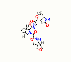 O=C(N[C@H]1[C@@H]2COC[C@@H]21)C(=O)N1C[C@@H]2CCC[C@@H]2[C@H]1C(=O)N[C@@H](C[C@@H]1CCNC1=O)C(=O)COC(F)(F)F